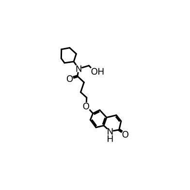 O=C(CCCOc1ccc2[nH]c(=O)ccc2c1)N(CO)C1CCCCC1